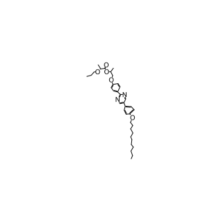 CCCCCCCCCCCOc1ccc(-c2cnc(-c3ccc(OCC(C)OC(=O)C(C)OCCC)cc3)nc2)cc1